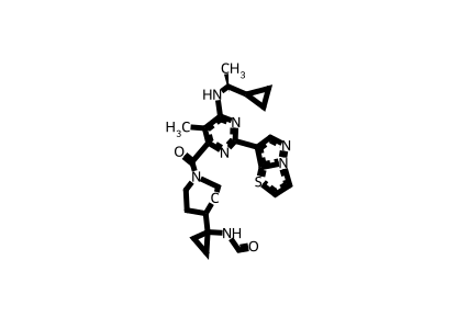 Cc1c(N[C@@H](C)C2CC2)nc(-c2cnn3ccsc23)nc1C(=O)N1CCC(C2(NC=O)CC2)CC1